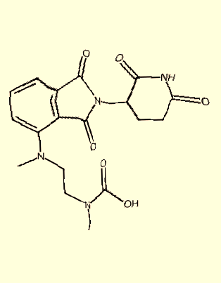 CN(CCN(C)c1cccc2c1C(=O)N(C1CCC(=O)NC1=O)C2=O)C(=O)O